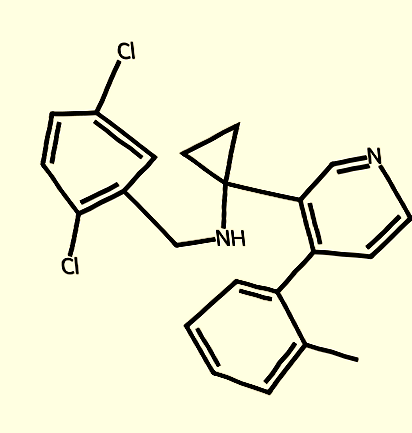 Cc1ccccc1-c1ccncc1C1(NCc2cc(Cl)ccc2Cl)CC1